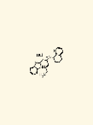 Cl.NCC=CC(Cc1nc2ccccc2[nH]1)NC1CCCc2cccnc21